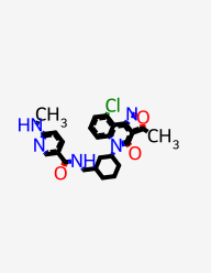 CNc1ccc(C(=O)NCC2CCCC(n3c(=O)c4c(C)onc4c4c(Cl)cccc43)C2)cn1